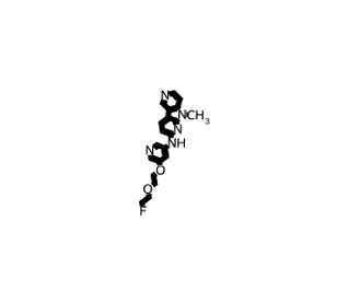 Cn1c2ccncc2c2ccc(Nc3cncc(OCCOCCF)c3)nc21